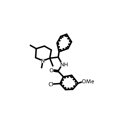 COc1ccc(Cl)c(C(=O)NC(c2ccccc2)C2(C)CCC(C)CN2C)c1